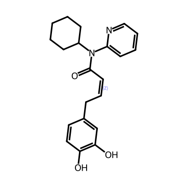 O=C(/C=C\Cc1ccc(O)c(O)c1)N(c1ccccn1)C1CCCCC1